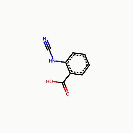 N#CNc1ccccc1C(=O)O